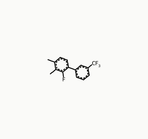 Cc1ccc(-c2cccc(C(F)(F)F)c2)c(F)c1C